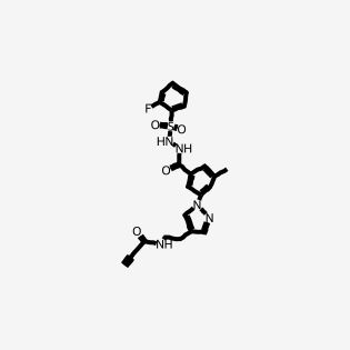 C#CC(=O)NCCc1cnn(-c2cc(C)cc(C(=O)NNS(=O)(=O)c3ccccc3F)c2)c1